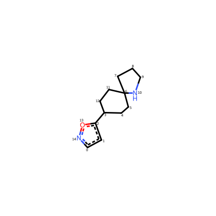 c1cc(C2CCC3(CCCN3)CC2)on1